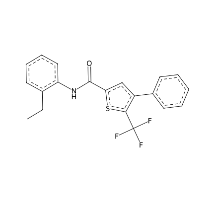 CCc1ccccc1NC(=O)c1cc(-c2ccccc2)c(C(F)(F)F)s1